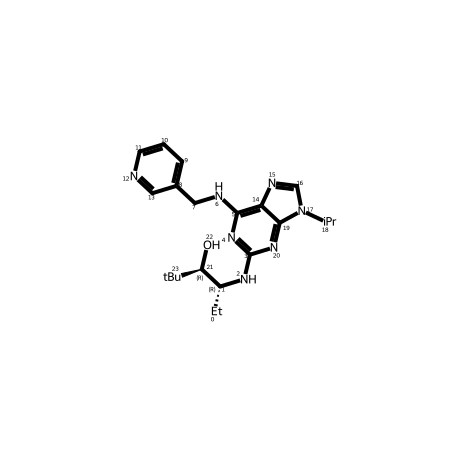 CC[C@@H](Nc1nc(NCc2cccnc2)c2ncn(C(C)C)c2n1)[C@H](O)C(C)(C)C